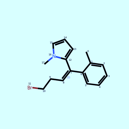 Cc1ccccc1/C(=C/CCBr)c1cccn1C